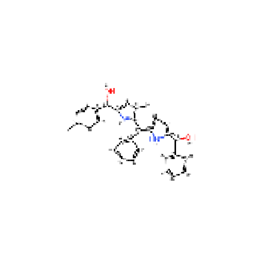 CC1C=CC(C(O)C2=CC(C)C(C(c3ccccc3)c3ccc(C(O)c4ccccc4)[nH]3)=N2)=CC1